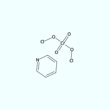 [O]=[Cr](=[O])([O]Cl)[O]Cl.c1ccncc1